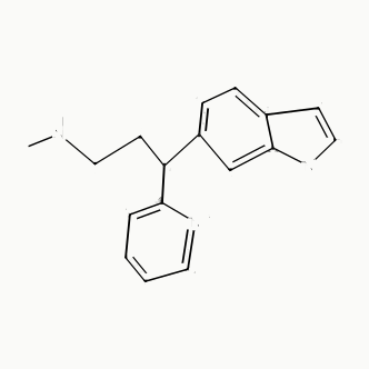 CNCCC(c1ccc2cc[nH]c2c1)c1ccccn1